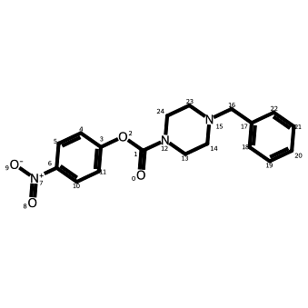 O=C(Oc1ccc([N+](=O)[O-])cc1)N1CCN(Cc2ccccc2)CC1